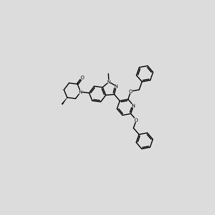 C[C@H]1[CH]CC(=O)N(c2ccc3c(-c4ccc(OCc5ccccc5)nc4OCc4ccccc4)nn(C)c3c2)C1